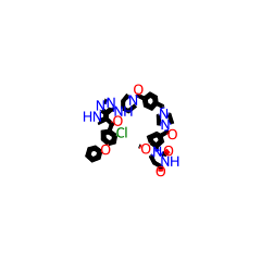 COc1ccc(C(=O)N2CCN(Cc3ccc(C(=O)N4CCC(Nc5ncnc6[nH]cc(C(=O)c7ccc(Oc8ccccc8)cc7Cl)c56)CC4)cc3)CC2)cc1N1CCC(=O)NC1=O